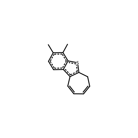 Cc1ccc2c3c(sc2c1C)CC=CC=C3